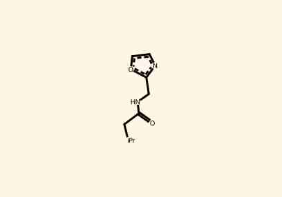 CC(C)CC(=O)NCc1ncco1